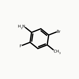 Cc1cc(F)c(N)cc1Br